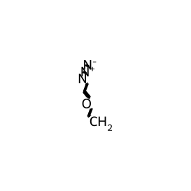 C=CCOC=CCN=[N+]=[N-]